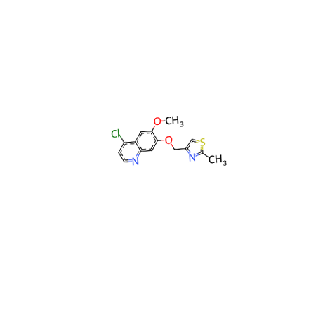 COc1cc2c(Cl)ccnc2cc1OCc1csc(C)n1